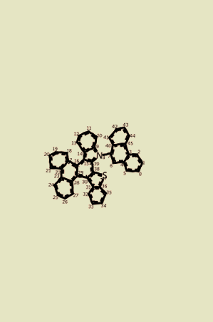 c1ccc2c(c1)cc(-n1c3ccccc3c3c4c5ccccc5c5ccccc5c4c4c5ccccc5sc4c31)c1ccccc12